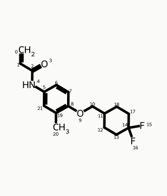 C=CC(=O)Nc1ccc(OCC2CCC(F)(F)CC2)c(C)c1